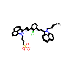 CCCCn1/c(=C/C=C2\CCCC(/C=C/C3=[N+](CCCCS(=O)(=O)[O-])c4cccc5cccc3c45)=C2Cl)c2cccc3cccc1c32